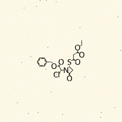 CCOC(=O)CC(=O)S[C@@H]1CC(=O)N1[C@@H](Cl)C(=O)OCc1ccccc1